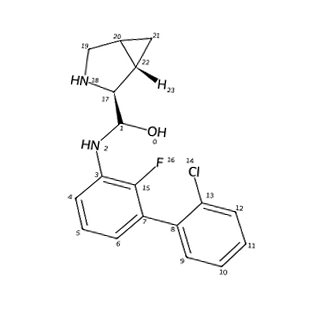 OC(Nc1cccc(-c2ccccc2Cl)c1F)[C@H]1NCC2C[C@@H]21